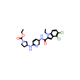 CCOC(=O)N1CC[C@H](NC2=NCC(NC(=O)c3cc4c(Cl)c(Cl)ccc4n3CC)C=C2)C1